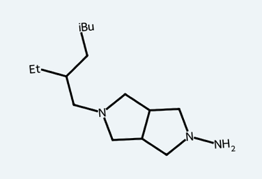 CCC(C)CC(CC)CN1CC2CN(N)CC2C1